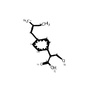 CC(C)Cc1ccc(C(CCl)C(=O)O)cc1